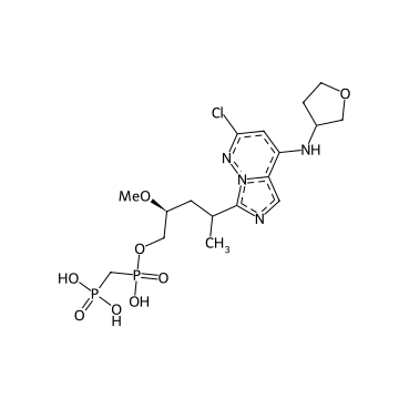 CO[C@H](COP(=O)(O)CP(=O)(O)O)CC(C)c1ncc2c(NC3CCOC3)cc(Cl)nn12